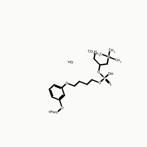 CCCCCOc1cccc(OCCCCOP(O)(=S)OC(CC(=O)O)C[N+](C)(C)C)c1.[OH-]